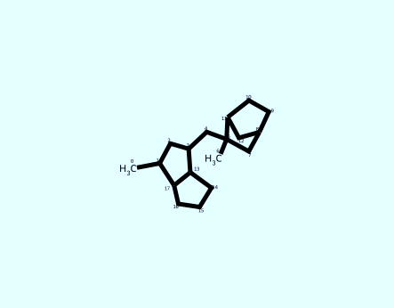 CC1CC(CC2(C)CC3CCC2C3)C2CCCC12